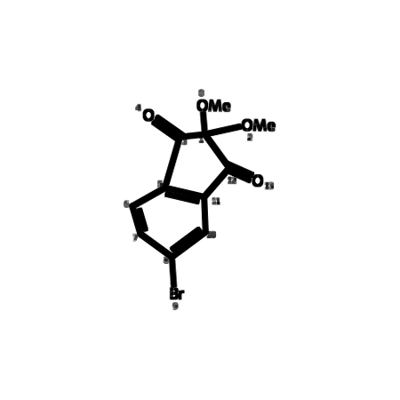 COC1(OC)C(=O)c2ccc(Br)cc2C1=O